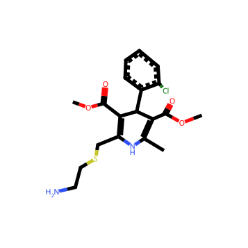 COC(=O)C1=C(C)NC(CSCCN)=C(C(=O)OC)C1c1ccccc1Cl